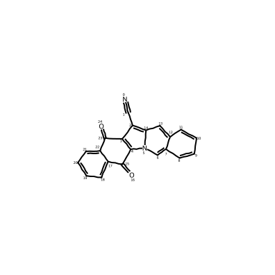 N#Cc1c2c(n3cc4ccccc4cc13)C(=O)c1ccccc1C2=O